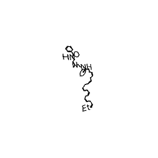 CC/C=C\C/C=C\C/C=C\C/C=C\C/C=C\C/C=C\CCC(=O)NCCN(C)CCNC(=O)c1ccccc1